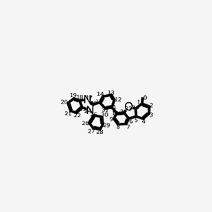 CC1=CC=CC2c3cccc(-c4cccc(-c5nc6ccccc6n5-c5ccccc5)c4)c3OC12